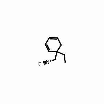 [C-]#[N+]CC1(CC)C=CC=CC1